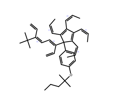 C=C/C(=C\C=C(/C=C)C1(c2ccc(OC(C)(C)CCC)cc2)C(/C=C\C)=C(/C=C\C)C(/C=C\C)=C1/C=C\C)C(C)(C)C